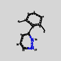 Cc1cccc(C)c1-c1cc[c]nn1